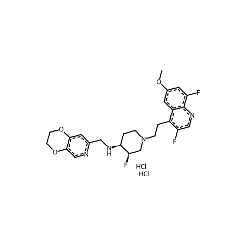 COc1cc(F)c2ncc(F)c(CCN3CC[C@H](NCc4cc5c(cn4)OCCO5)[C@H](F)C3)c2c1.Cl.Cl